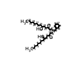 CCCCCCCCC(O)CCC(=O)CCN(CCC(=O)CCC(O)CCCCCCCC)Cc1ccccc1